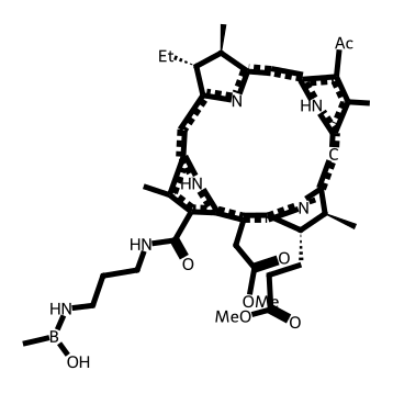 CC[C@H]1c2cc3[nH]c(c(CC(=O)OC)c4nc(cc5[nH]c(cc(n2)[C@@H]1C)c(C(C)=O)c5C)[C@@H](C)[C@@H]4CCC(=O)OC)c(C(=O)NCCCNB(C)O)c3C